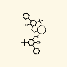 CC(C)(C)c1cc(CSC2CCCCCCC2SCc2cc(C(C)(C)C)cc(-c3ccccc3)c2O)c(O)c(-c2ccccc2)c1